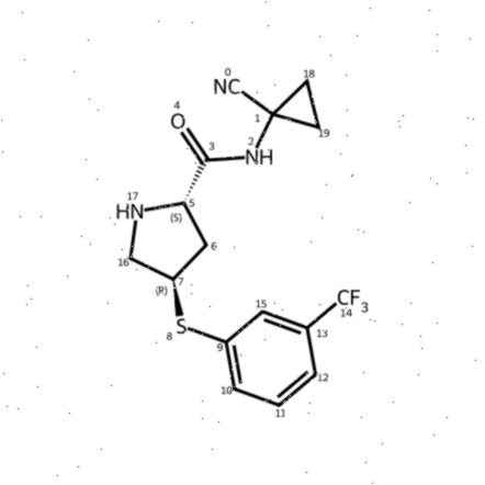 N#CC1(NC(=O)[C@@H]2C[C@@H](Sc3cccc(C(F)(F)F)c3)CN2)CC1